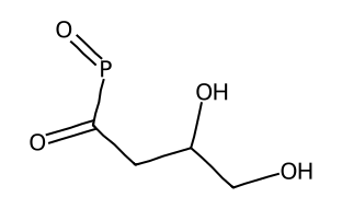 O=PC(=O)CC(O)CO